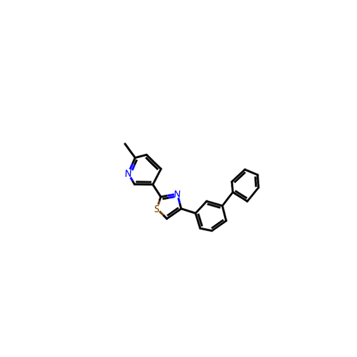 Cc1ccc(-c2nc(-c3cccc(-c4ccccc4)c3)cs2)cn1